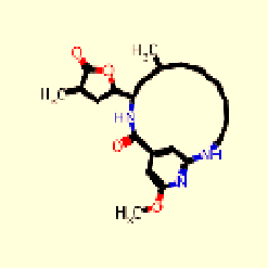 COc1cc2cc(n1)NCCCCCCC(C)CC(C1CC(C)C(=O)O1)NC2=O